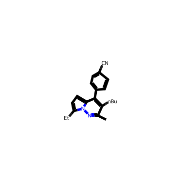 CCCCc1c(C)nn2c(CC)ccc2c1-c1ccc(C#N)cc1